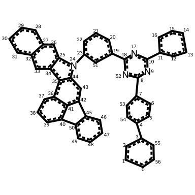 c1ccc(-c2ccc(-c3nc(-c4ccccc4)nc(-c4cccc(-n5c6cc7ccccc7cc6c6c7cccc8c7c(cc65)-c5ccccc5-8)c4)n3)cc2)cc1